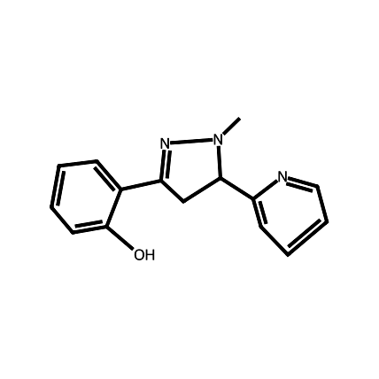 CN1N=C(c2ccccc2O)CC1c1ccccn1